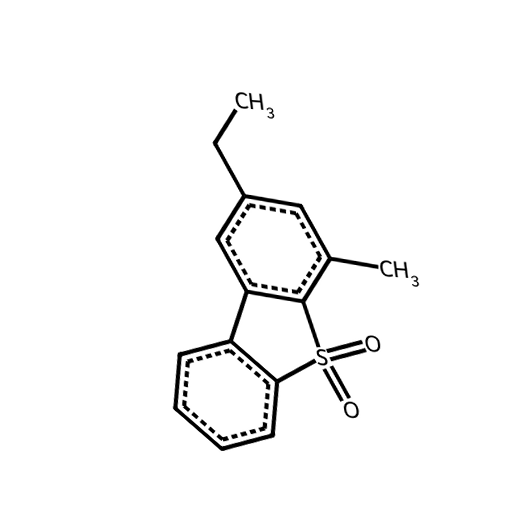 CCc1cc(C)c2c(c1)-c1ccccc1S2(=O)=O